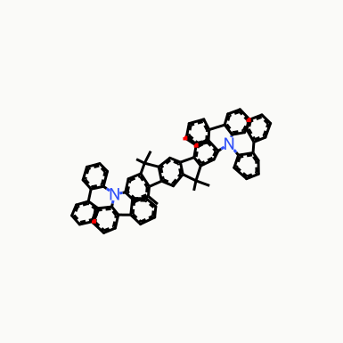 Cc1cc(N(c2ccccc2-c2ccccc2)c2ccccc2-c2ccccc2)cc2c1-c1cc3c(cc1C2(C)C)-c1c(C)cc(N(c2ccccc2-c2ccccc2)c2ccccc2-c2ccccc2)cc1C3(C)C